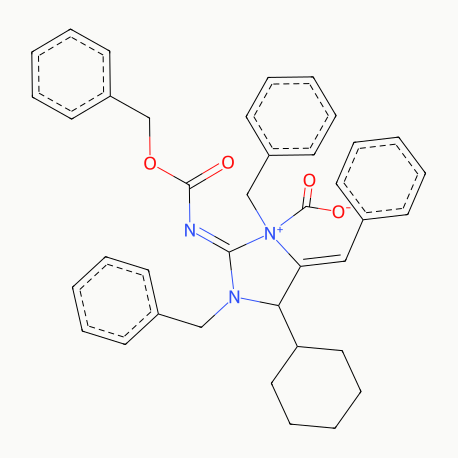 O=C(N=C1N(Cc2ccccc2)C(C2CCCCC2)C(=Cc2ccccc2)[N+]1(Cc1ccccc1)C(=O)[O-])OCc1ccccc1